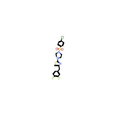 O=S(=O)(c1ccc(Cl)cc1)N1CCN(c2nc(Cc3ccc(F)c(F)c3)cs2)CC1